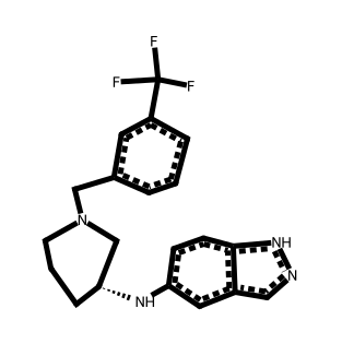 FC(F)(F)c1cccc(CN2CCC[C@@H](Nc3ccc4[nH]ncc4c3)C2)c1